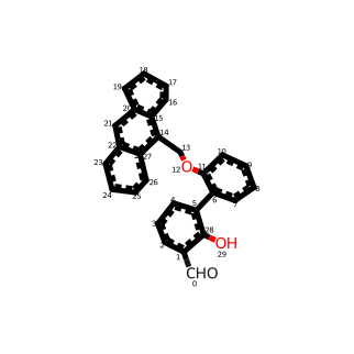 O=Cc1cccc(-c2ccccc2OCc2c3ccccc3cc3ccccc23)c1O